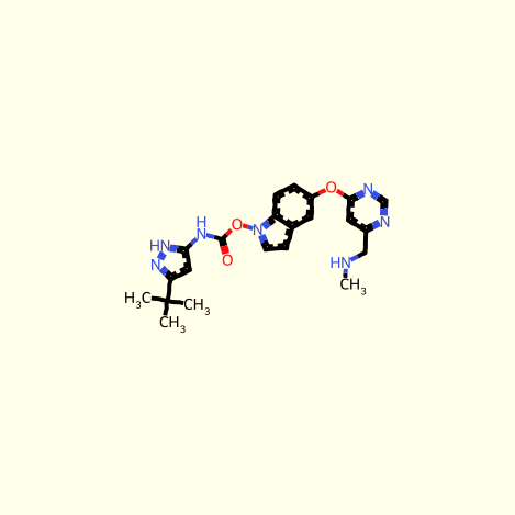 CNCc1cc(Oc2ccc3c(ccn3OC(=O)Nc3cc(C(C)(C)C)n[nH]3)c2)ncn1